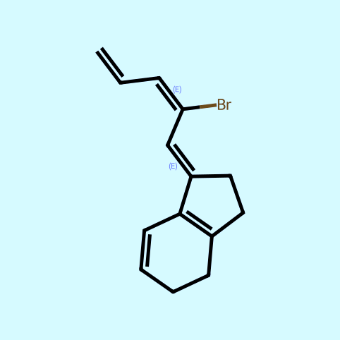 C=C/C=C(Br)\C=C1/CCC2=C1C=CCC2